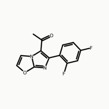 CC(=O)c1c(-c2ccc(F)cc2F)nc2occn12